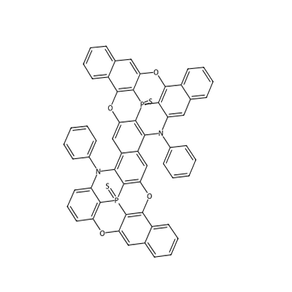 S=P12c3c4cccc3N(c3ccccc3)c3c1c(cc1c5c6c(cc31)Oc1c3c(cc7ccccc17)Oc1c(c(cc7ccccc17)N5c1ccccc1)P36=S)Oc1c2c(cc2ccccc12)O4